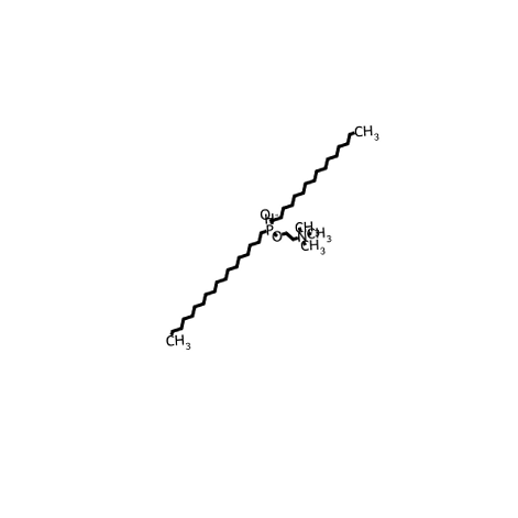 CCCCCCCCCCCCCCCCCC[PH-](OCC[N+](C)(C)C)C(=O)CCCCCCCCCCCCCCC